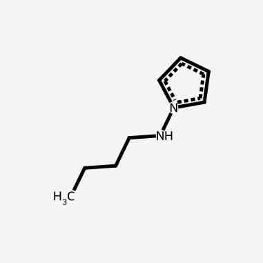 CCCCNn1cccc1